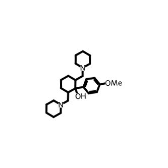 COc1ccc(C2(O)C(CN3CCCCC3)CCCC2CN2CCCCC2)cc1